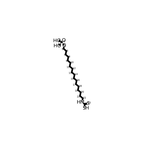 O=P(O)(O)OCCCCCCCCCCCCCCCCCCNC(=S)S